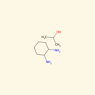 CC(C)O.NC1CCCCC1N